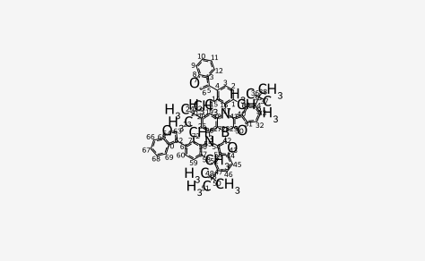 Cc1ccc(-c2coc3ccccc23)c(C)c1N1c2cc(C(C)(C)C)cc3c2B(c2oc4ccc(C(C)(C)C)cc4c21)c1oc2ccc(C(C)(C)C)cc2c1N3c1c(C)ccc(-c2coc3ccccc23)c1C